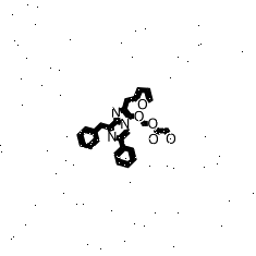 O=CC(=O)OCOc1c(Cc2ccco2)nc2c(Cc3ccccc3)nc(-c3ccccc3)cn12